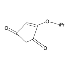 CC(C)OC1=CC(=O)CC1=O